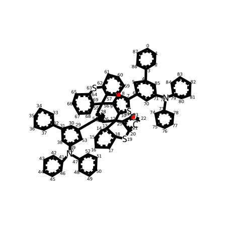 c1ccc(-c2cc(-c3cc4c(s3)C3(c5ccccc5Sc5ccccc53)c3cc(-c5cc(-c6ccccc6)cc(N(c6ccccc6)c6ccccc6)c5)sc3C43c4ccccc4Sc4ccccc43)cc(N(c3ccccc3)c3ccccc3)c2)cc1